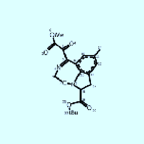 COC(=O)C(=O)C1=NCCN2c3c(cc(C)cc31)CC2C(=O)OC(C)(C)C